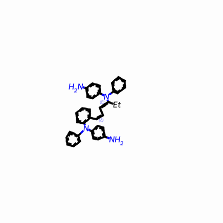 CC/C(=C\C=C/c1ccccc1N(c1ccccc1)c1ccc(N)cc1)N(c1ccccc1)c1ccc(N)cc1